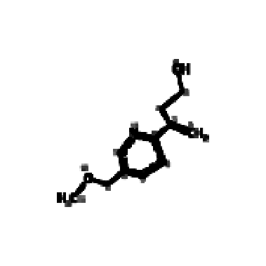 C=C(CCO)c1ccc(COC)cn1